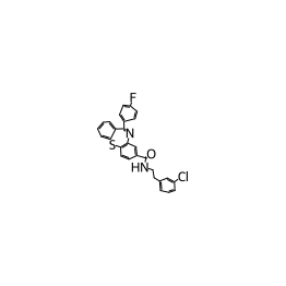 O=C(NCCc1cccc(Cl)c1)c1ccc2c(c1)N=C(c1ccc(F)cc1)c1ccccc1S2